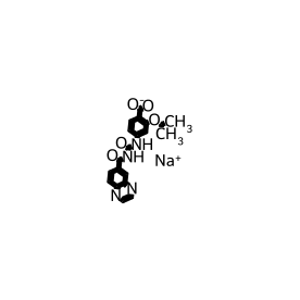 CC(C)Oc1cc(NC(=O)NC(=O)c2ccc3nccnc3c2)ccc1C(=O)[O-].[Na+]